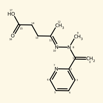 C=C(c1ccccn1)N(C)/N=C(\C)CCC(=O)O